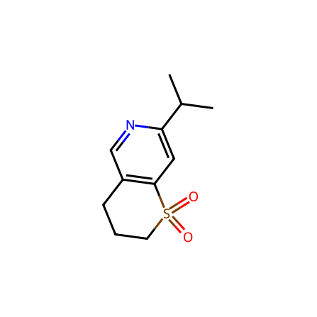 CC(C)c1cc2c(cn1)CCCS2(=O)=O